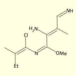 CC\C(C)=C(Cl)/N=C(OC)\C(N)=C(/C)C=N